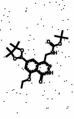 CCOc1cc(B2OC(C)(C)C(C)(C)O2)cc2c(CNC(=O)OC(C)(C)C)n[nH]c(=O)c12